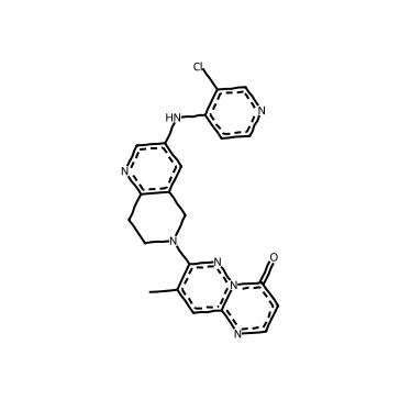 Cc1cc2nccc(=O)n2nc1N1CCc2ncc(Nc3ccncc3Cl)cc2C1